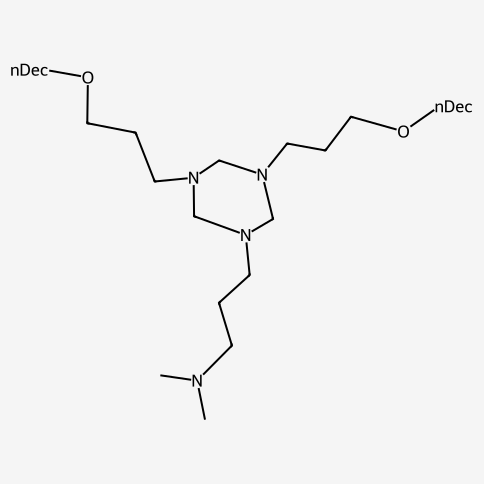 CCCCCCCCCCOCCCN1CN(CCCOCCCCCCCCCC)CN(CCCN(C)C)C1